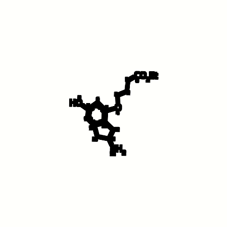 CCOC(=O)CCCOc1cc(O)cc2c1CC(N)C2